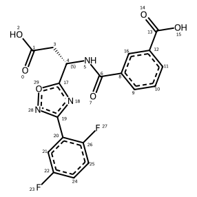 O=C(O)C[C@H](NC(=O)c1cccc(C(=O)O)c1)c1nc(-c2cc(F)ccc2F)no1